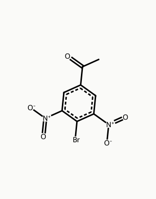 CC(=O)c1cc([N+](=O)[O-])c(Br)c([N+](=O)[O-])c1